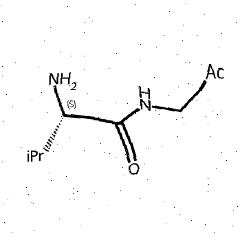 CC(=O)CNC(=O)[C@@H](N)C(C)C